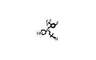 CC(C)(C#N)CCN(Cc1ccc(F)cc1C(F)(F)F)C1CCNCC1